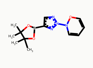 CC1(C)OB(c2cnn(N3C=CC=CO3)n2)OC1(C)C